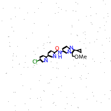 COCc1c(C2CC2)nc2ccc(NC(=O)c3ccc(-c4ccc(Cl)cn4)cn3)cn12